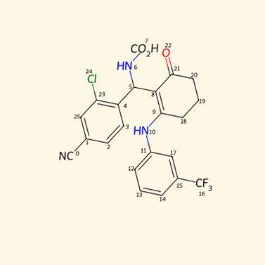 N#Cc1ccc(C(NC(=O)O)C2=C(Nc3cccc(C(F)(F)F)c3)CCCC2=O)c(Cl)c1